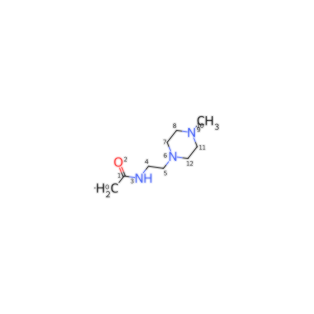 [CH2]C(=O)NCCN1CCN(C)CC1